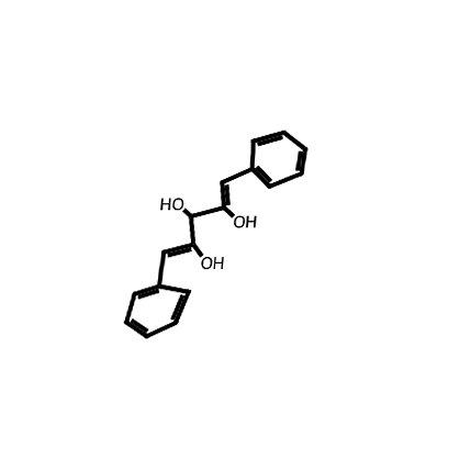 OC(=Cc1ccccc1)C(O)C(O)=Cc1ccccc1